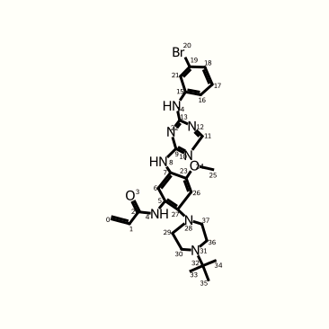 C=CC(=O)Nc1cc(Nc2ncnc(Nc3cccc(Br)c3)n2)c(OC)cc1N1CCN(C(C)(C)C)CC1